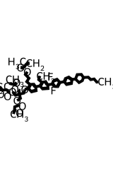 C=C(C)C(=O)OCCCc1cc(-c2ccc(-c3c(F)cc(-c4ccc(C5CCC(CCCCC)CC5)cc4)cc3F)cc2CC)ccc1OCC(COC(=O)CC(C)=O)(COC(=O)CC(C)=O)COC(=O)C(=C)C